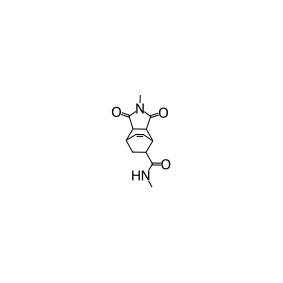 CNC(=O)C1CC2C=CC1C1C(=O)N(C)C(=O)C21